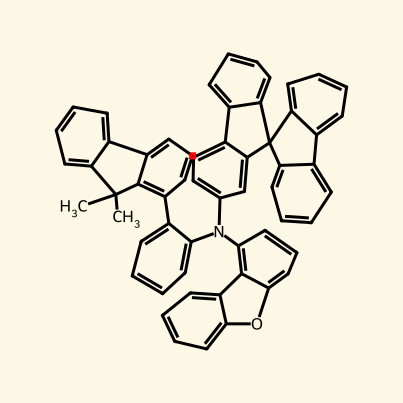 CC1(C)c2ccccc2-c2cccc(-c3ccccc3N(c3ccc4c(c3)C3(c5ccccc5-c5ccccc53)c3ccccc3-4)c3cccc4oc5ccccc5c34)c21